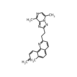 C=C/C=C\c1c(C)ccc2ccc(CCc3nc4c(C)ncc(C)n4n3)nc12